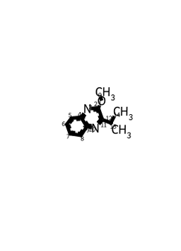 COc1nc2ccccc2nc1C(C)C